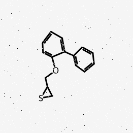 c1ccc(-c2ccccc2OCC2CS2)cc1